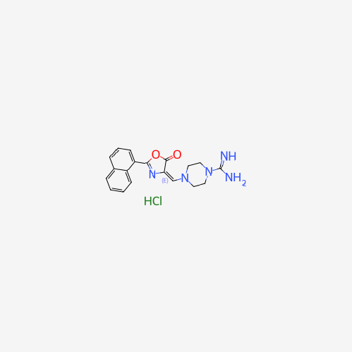 Cl.N=C(N)N1CCN(/C=C2/N=C(c3cccc4ccccc34)OC2=O)CC1